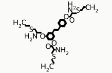 C=CCSCC(N)COc1cc(/C=C/c2ccc(OC(=O)C(N)CSCC=C)cc2)cc(OC(=O)C(N)CSCC=C)c1